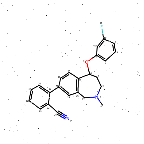 CN1CCC(Oc2cccc(F)c2)c2ccc(-c3ccccc3C#N)cc2C1